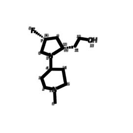 CN1CCC(N2C[C@H](F)C[C@@H]2CCO)CC1